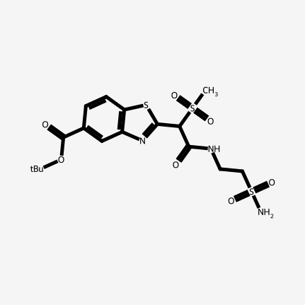 CC(C)(C)OC(=O)c1ccc2sc(C(C(=O)NCCS(N)(=O)=O)S(C)(=O)=O)nc2c1